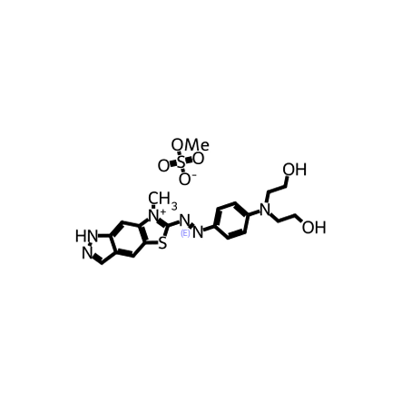 COS(=O)(=O)[O-].C[n+]1c(/N=N/c2ccc(N(CCO)CCO)cc2)sc2cc3cn[nH]c3cc21